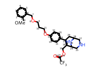 COc1ccccc1COCCCOc1ccc(C2=C(COC(=O)C(F)(F)F)C3CNCC(C2)N3)cc1